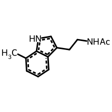 CC(=O)NCCc1c[nH]c2c(C)cccc12